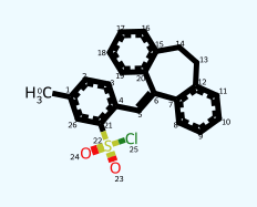 Cc1ccc(C=C2c3ccccc3CCc3ccccc32)c(S(=O)(=O)Cl)c1